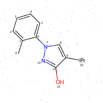 Cc1ccccc1-n1cc(C(C)C)c(O)n1